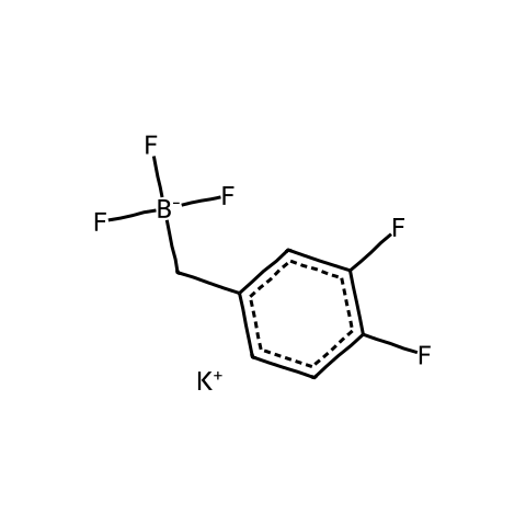 Fc1ccc(C[B-](F)(F)F)cc1F.[K+]